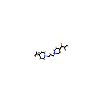 CC(C)C(=O)C1CCN(CCCN2CCC(C(C)C)CC2)CC1